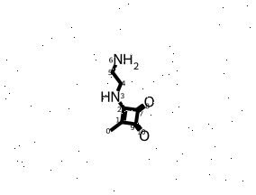 Cc1c(NCCN)c(=O)c1=O